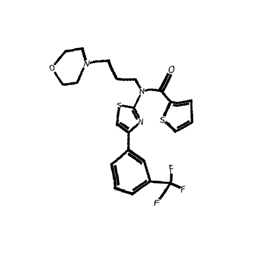 O=C(c1cccs1)N(CCCN1CCOCC1)c1nc(-c2cccc(C(F)(F)F)c2)cs1